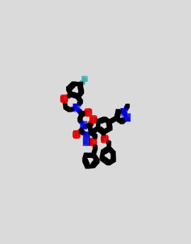 Cn1cc(-c2ccc(C3(COCc4ccccc4)NC(=O)N(CC(=O)N4CCOc5ccc(F)cc5C4)C3=O)c(OCc3ccccc3)c2)cn1